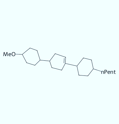 CCCCCC1CCC(C2=CCC(C3CCC(OC)CC3)CC2)CC1